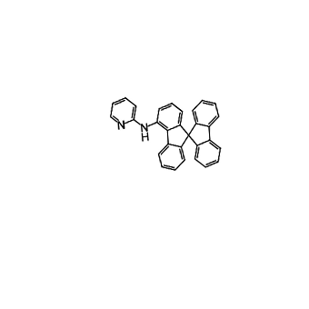 c1ccc(Nc2cccc3c2-c2ccccc2C32c3ccccc3-c3ccccc32)nc1